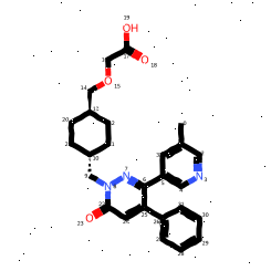 Cc1cncc(-c2nn(C[C@H]3CC[C@H](COCC(=O)O)CC3)c(=O)cc2-c2ccccc2)c1